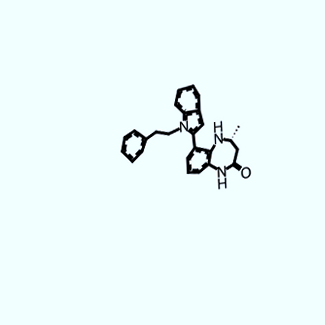 C[C@@H]1CC(=O)Nc2cccc(-c3cc4ccccc4n3CCc3ccccc3)c2N1